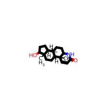 C[C@]12C=CC(=O)NC1CC[C@@H]1[C@H]2CC[C@]2(C)C(O)CC[C@@H]12